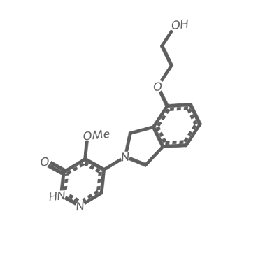 COc1c(N2Cc3cccc(OCCO)c3C2)cn[nH]c1=O